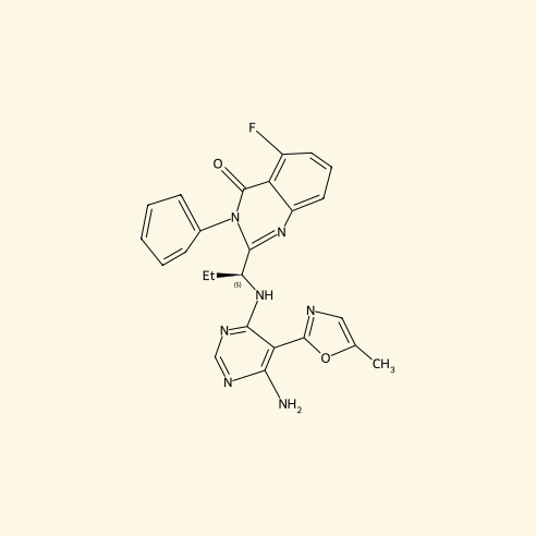 CC[C@H](Nc1ncnc(N)c1-c1ncc(C)o1)c1nc2cccc(F)c2c(=O)n1-c1ccccc1